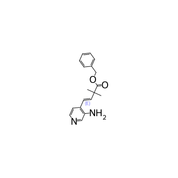 CC(C)(/C=C/c1ccncc1N)C(=O)OCc1ccccc1